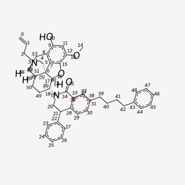 C=CCN1CC[C@]23c4c5c(O)cc(OC)c4O[C@H]2[C@H](N(CC(c2ccccc2)c2ccccc2)C(=O)CCCCCCCc2ccccc2)CC[C@H]3[C@H]1C5